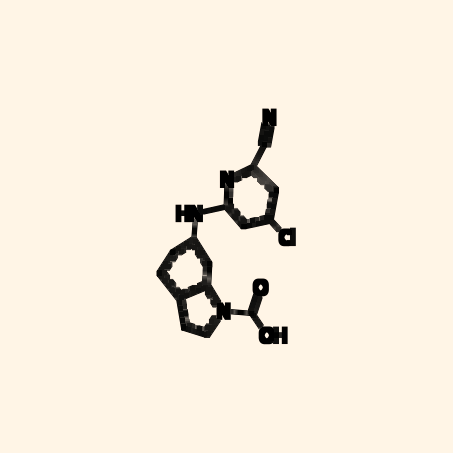 N#Cc1cc(Cl)cc(Nc2ccc3ccn(C(=O)O)c3c2)n1